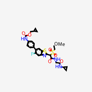 COCCS(=O)(=O)C(C(=O)NCC(=O)NC1CC1)c1nc2cc(F)c(-c3ccc(NC(=O)OCC4CC4)cc3)cc2s1